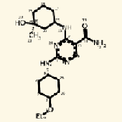 CCO[C@H]1CC[C@H](Nc2ncc(C(N)=O)c(NC3CCC[C@](C)(O)C3)n2)CC1